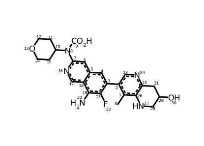 Cc1c(-c2cc3cc(N(C(=O)O)C4CCOCC4)ncc3c(N)c2F)cnc2c1NCC(O)C2